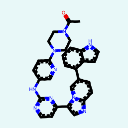 CC(=O)N1CCN(c2ccc(Nc3nccc(-c4cnc5ccc(-c6cccc7[nH]ccc67)cn45)n3)cn2)CC1